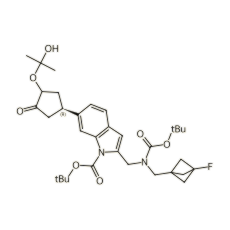 CC(C)(C)OC(=O)N(Cc1cc2ccc([C@H]3CC(=O)C(OC(C)(C)O)C3)cc2n1C(=O)OC(C)(C)C)CC12CC(F)(C1)C2